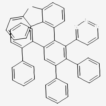 c1ccc(-c2ccccc2-c2cc(-c3ccccc3)c(-c3ccccc3)c(-c3ccnnn3)c2-c2cccc3oc4ccccc4c23)cc1